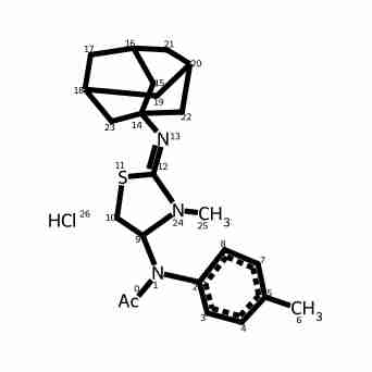 CC(=O)N(c1ccc(C)cc1)C1CSC(=NC23CC4CC(CC(C4)C2)C3)N1C.Cl